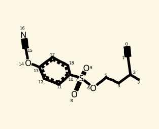 C#CC(C)CCOS(=O)(=O)c1ccc(OC#N)cc1